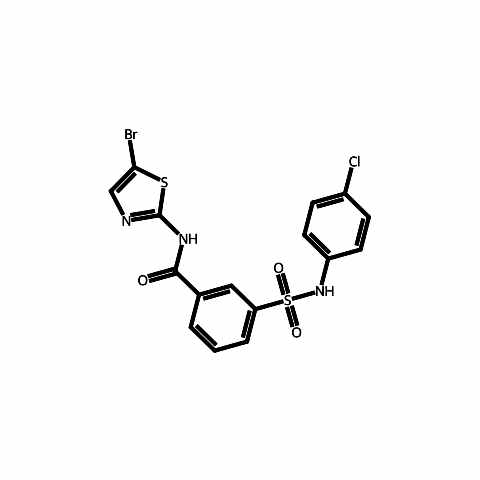 O=C(Nc1ncc(Br)s1)c1cccc(S(=O)(=O)Nc2ccc(Cl)cc2)c1